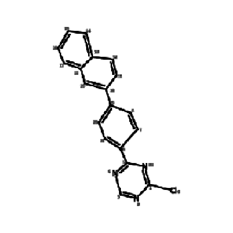 Clc1ncnc(-c2ccc(-c3ccc4ccccc4c3)cc2)n1